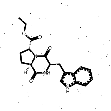 CCOC(=O)[C@H]1CC[C@@H]2C(=O)N[C@H](Cc3c[nH]c4ccccc34)C(=O)N21